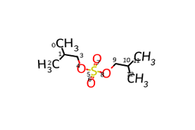 CC(C)COS(=O)(=O)OCC(C)C